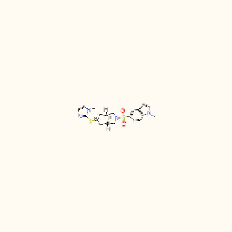 Cn1ccnc1S[C@H]1C[C@@H]2CN(S(=O)(=O)c3ccc4c(ccn4C)c3)C[C@@H]2C1